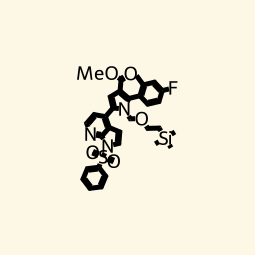 COC(=O)c1cc(-c2ccnc3c2ccn3S(=O)(=O)c2ccccc2)n(COCC[Si](C)(C)C)c1-c1ccc(F)cc1C